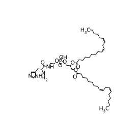 CCCCC/C=C\C/C=C\CCCCCCCC(=O)OCC(COP(=O)(O)OCCNC(=O)C(N)Cc1cnc[nH]1)OC(=O)CCCCCCC/C=C\C/C=C\CCCCC